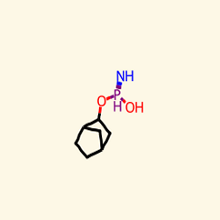 N=[PH](O)OC1CC2CCC1C2